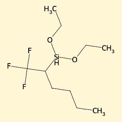 CCCCC([SiH](OCC)OCC)C(F)(F)F